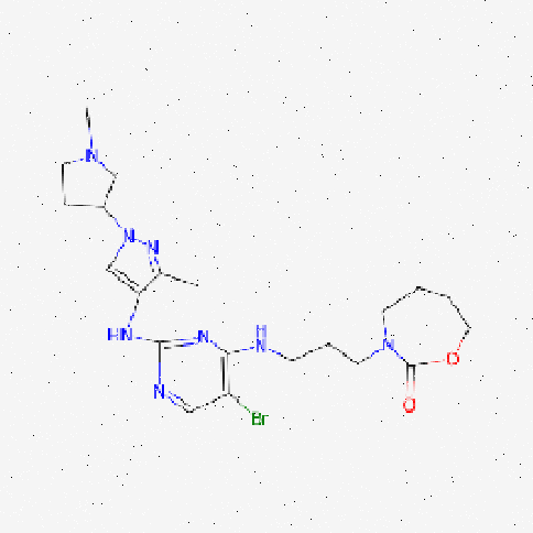 Cc1nn(C2CCN(C)C2)cc1Nc1ncc(Br)c(NCCCN2CCCCOC2=O)n1